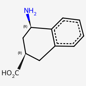 N[C@@H]1C[C@H](C(=O)O)Cc2ccccc21